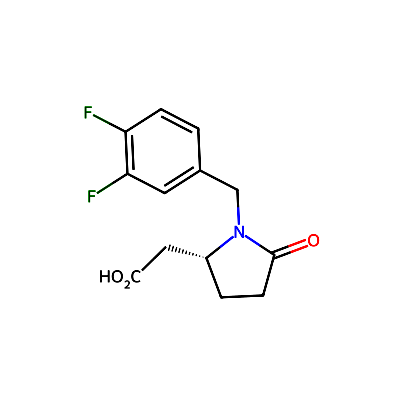 O=C(O)C[C@H]1CCC(=O)N1Cc1ccc(F)c(F)c1